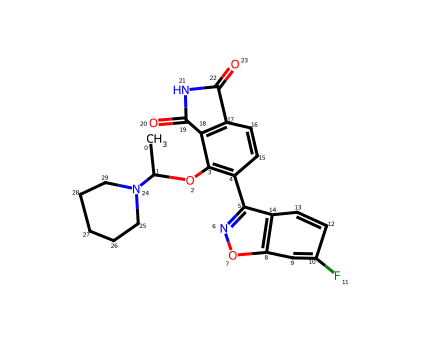 CC(Oc1c(-c2noc3cc(F)ccc23)ccc2c1C(=O)NC2=O)N1CCCCC1